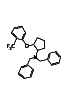 FC(F)(F)c1ccccc1OC1CCCC1N(Cc1ccccc1)Cc1ccccc1